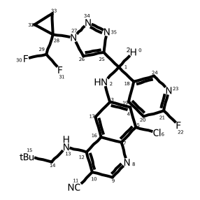 [2H]C(Nc1cc(Cl)c2ncc(C#N)c(NCC(C)(C)C)c2c1)(c1ccc(F)nc1)c1cn(C2(C(F)F)CC2)nn1